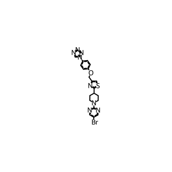 Brc1cnc(N2CCC(c3nc(COc4ccc(-n5cnnn5)cc4)cs3)CC2)nc1